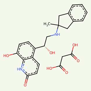 CC1(NC[C@H](O)c2ccc(O)c3[nH]c(=O)ccc23)Cc2ccccc2C1.O=C(O)CC(=O)O